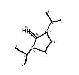 CC(C)N1CCN(C(C)C)C1=N